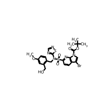 COc1ccc(CN(c2ncns2)S(=O)(=O)c2ccc3c(Br)cn(C(=O)OC(C)(C)C)c3n2)c(CO)c1